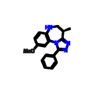 COc1ccc2c(c1)-n1c(-c3ccccc3)nnc1[C@H](C)CN2